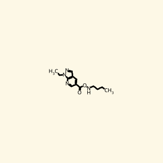 CCCCNOC(=O)c1cnc2c(cnn2CC)c1